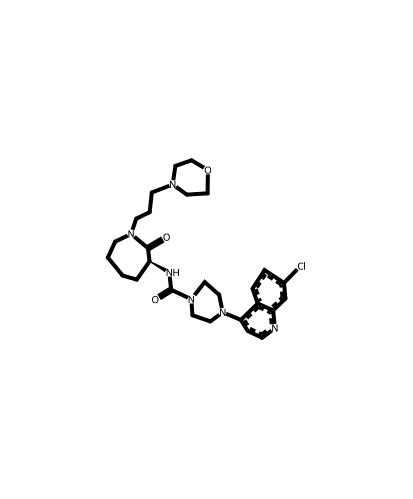 O=C(N[C@H]1CCCCN(CCCN2CCOCC2)C1=O)N1CCN(c2ccnc3cc(Cl)ccc23)CC1